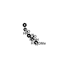 COc1cc(Nc2[nH]nc(-c3ccc(NC(=O)N4CC[C@@H](c5ccccc5)C4)cc3)c2C(N)=O)ccn1